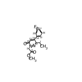 CCc1nn(CC(=O)OC)c(=O)cc1-c1cccc(F)c1